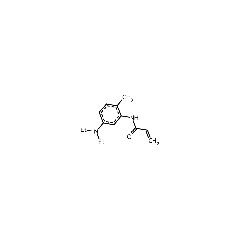 C=CC(=O)Nc1cc(N(CC)CC)ccc1C